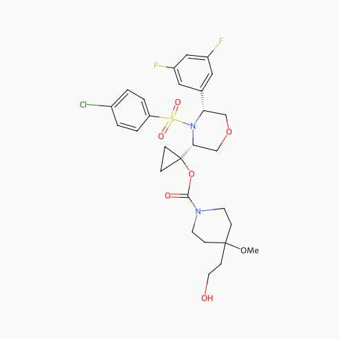 COC1(CCO)CCN(C(=O)OC2([C@H]3COC[C@@H](c4cc(F)cc(F)c4)N3S(=O)(=O)c3ccc(Cl)cc3)CC2)CC1